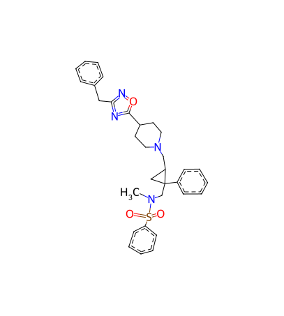 CN(CC1(c2ccccc2)CC1CN1CCC(c2nc(Cc3ccccc3)no2)CC1)S(=O)(=O)c1ccccc1